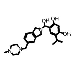 CC(C)c1cc(C(O)N2Cc3ccc(CN4CCN(C)CC4)cc3C2)c(O)cc1O